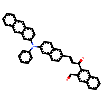 O=Cc1cc2ccccc2cc1C(=O)C=Cc1ccc2cc(N(c3ccccc3)c3ccc4cc5ccccc5cc4c3)ccc2c1